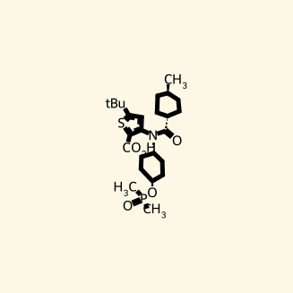 CC(C)(C)c1cc(N(C(=O)[C@H]2CC[C@H](C)CC2)[C@H]2CC[C@@H](OP(C)(C)=O)CC2)c(C(=O)O)s1